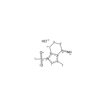 Cc1cn(S(C)(=O)=O)c2c1C(=N)CCC2.Cl